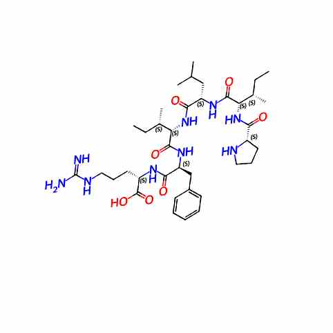 CC[C@H](C)[C@H](NC(=O)[C@H](CC(C)C)NC(=O)[C@@H](NC(=O)[C@@H]1CCCN1)[C@@H](C)CC)C(=O)N[C@@H](Cc1ccccc1)C(=O)N[C@@H](CCCNC(=N)N)C(=O)O